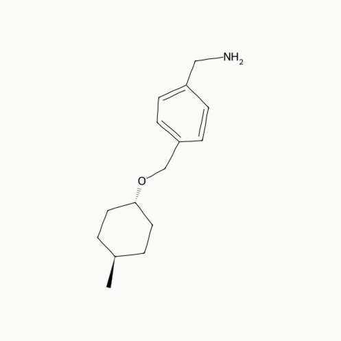 C[C@H]1CC[C@H](OCc2ccc(CN)cc2)CC1